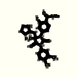 CNC(=O)c1ccc(N2C(=S)N(c3ccc(C#N)c(C(F)(F)F)c3)C(=O)C2(C)CC2CCCN2)cc1F